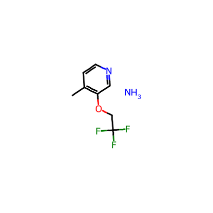 Cc1ccncc1OCC(F)(F)F.N